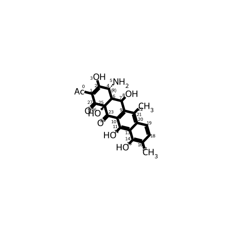 CC(=O)C1=C(O)[C@H](N)C2C(O)c3c(c(O)c4c(O)c(C)ccc4c3C)C(=O)[C@]2(O)C1=O